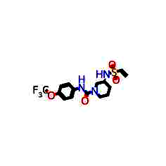 C=CS(=O)(=O)N[C@@H]1CCCN(C(=O)Nc2ccc(OC(F)(F)F)cc2)C1